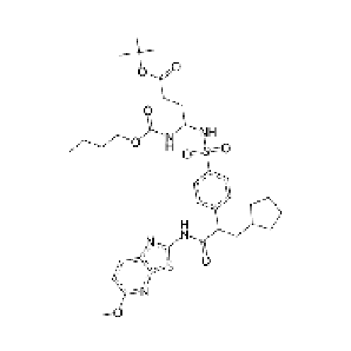 CCCCOC(=O)NC(CCC(=O)OC(C)(C)C)NS(=O)(=O)c1ccc(C(CC2CCCC2)C(=O)Nc2nc3ccc(OC)nc3s2)cc1